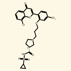 O=C(NS(=O)(=O)C1CC1)[C@@H]1CCN(CCCOc2cc(C(F)(F)F)ccc2-c2cc(=O)c3cccc(Cl)c3o2)C1